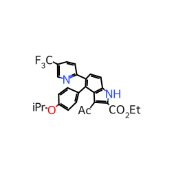 CCOC(=O)c1[nH]c2ccc(-c3ccc(C(F)(F)F)cn3)c(-c3ccc(OC(C)C)cc3)c2c1C(C)=O